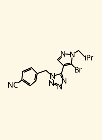 CC(C)Cn1ncc(-c2nnnn2Cc2ccc(C#N)cc2)c1Br